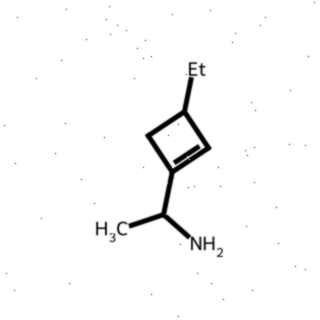 CCC1C=C(C(C)N)C1